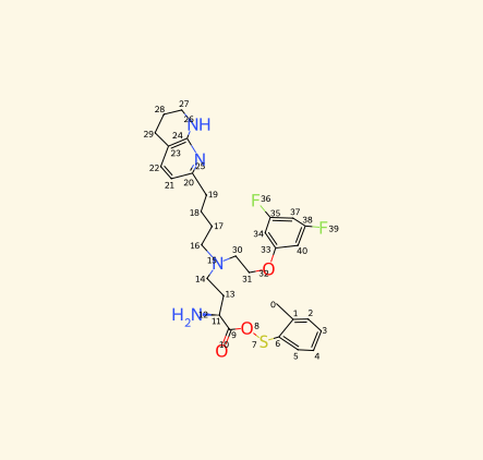 Cc1ccccc1SOC(=O)[C@@H](N)CCN(CCCCc1ccc2c(n1)NCCC2)CCOc1cc(F)cc(F)c1